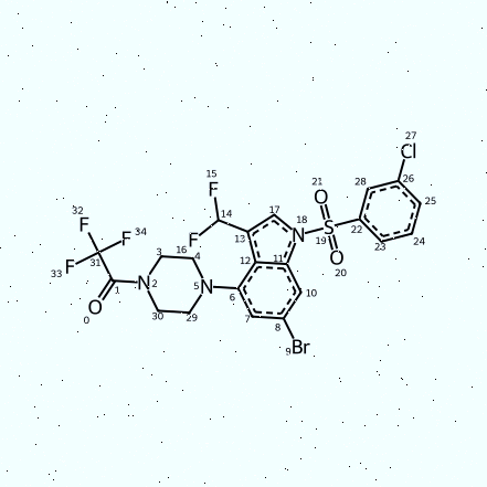 O=C(N1CCN(c2cc(Br)cc3c2c(C(F)F)cn3S(=O)(=O)c2cccc(Cl)c2)CC1)C(F)(F)F